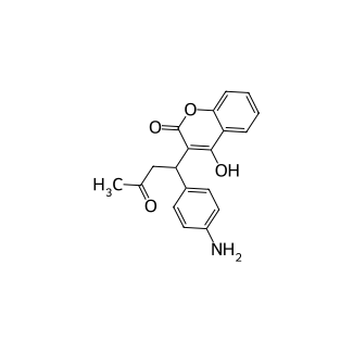 CC(=O)CC(c1ccc(N)cc1)c1c(O)c2ccccc2oc1=O